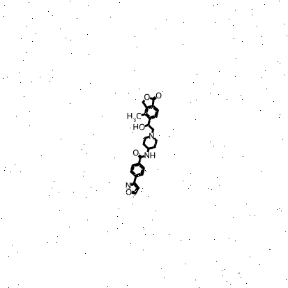 Cc1c(C(O)CN2CCC(NC(=O)c3ccc(-c4ccon4)cc3)CC2)ccc2c1COC2=O